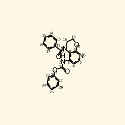 O=C(Nc1ccnc2c1N(C(=O)c1ccccc1)CCO2)Oc1ccccc1